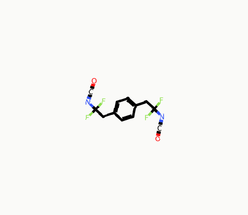 O=C=NC(F)(F)Cc1ccc(CC(F)(F)N=C=O)cc1